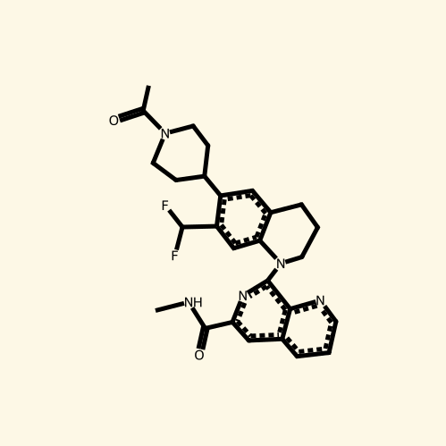 CNC(=O)c1cc2cccnc2c(N2CCCc3cc(C4CCN(C(C)=O)CC4)c(C(F)F)cc32)n1